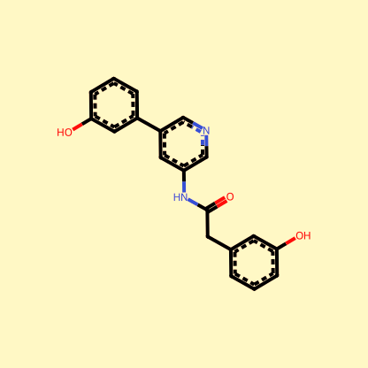 O=C(Cc1cccc(O)c1)Nc1cncc(-c2cccc(O)c2)c1